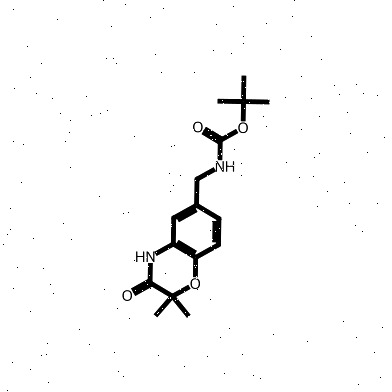 CC(C)(C)OC(=O)NCc1ccc2c(c1)NC(=O)C(C)(C)O2